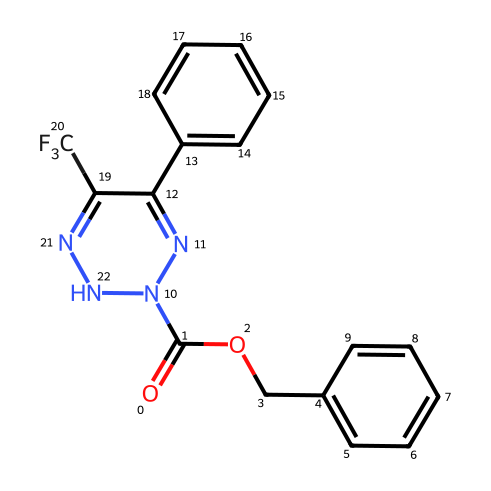 O=C(OCc1ccccc1)N1N=C(c2ccccc2)C(C(F)(F)F)=NN1